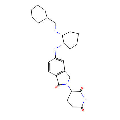 O=C1CCC(N2Cc3cc(N[C@@H]4CCCC[C@@H]4NCC4CCCCC4)ccc3C2=O)C(=O)N1